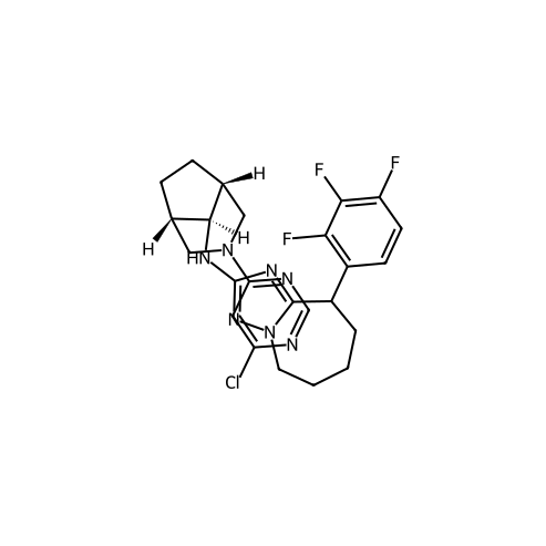 Fc1ccc(C2CCCCn3nc(N[C@@H]4[C@@H]5CC[C@H]4CN(c4cc(Cl)ncn4)C5)nc32)c(F)c1F